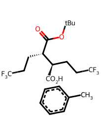 CC(C)(C)OC(=O)[C@@H](CCC(F)(F)F)[C@@H](CCC(F)(F)F)C(=O)O.Cc1ccccc1